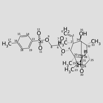 C=C[C@]1(C)[C@@H](OC(=O)COS(=O)(=O)c2ccc(C)cc2)[C@]2(C)C(C)CC[C@]3(CCC(=O)[C@H]32)[C@@H](C)[C@@H]1O